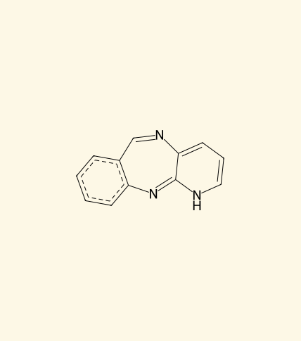 C1=CNC2=Nc3ccccc3C=NC2=C1